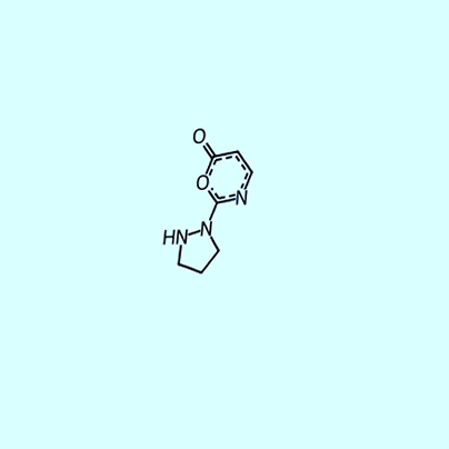 O=c1ccnc(N2CCCN2)o1